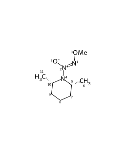 [CH2]O/N=[N+](\[O-])N1[C@H](C)CCC[C@@H]1C